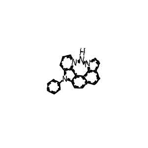 c1ccc(-n2c3ccc4ccc5ccn6[nH][n+]7cccc2c7c3c4c56)cc1